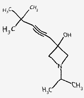 CC(C)N1CC(O)(C#CC(C)(C)C)C1